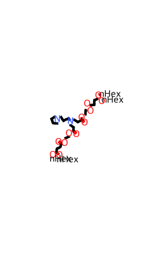 CCCCCCOC(CCC(=O)OCCOC(=O)CCN(CCCN1CCCC1)CCC(=O)OCCOC(=O)CCC(OCCCCCC)OCCCCCC)OCCCCCC